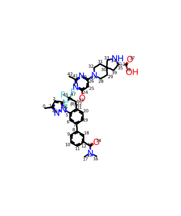 Cc1ccn(-c2cc(-c3cccc(C(=O)N(C)C)c3)ccc2[C@@H](Oc2cc(N3CCC4(CC3)CN[C@H](C(=O)O)C4)nc(C)n2)C(F)(F)F)n1